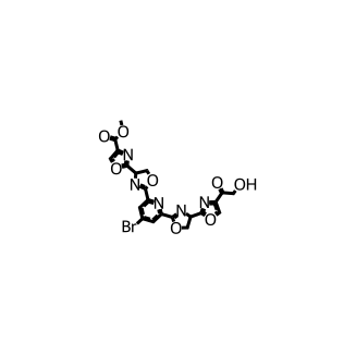 COC(=O)c1coc(C2COC(c3cc(Br)cc(C4=NC(c5nc(C(=O)CO)co5)CO4)n3)=N2)n1